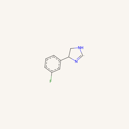 Fc1cccc(C2CN[C]=N2)c1